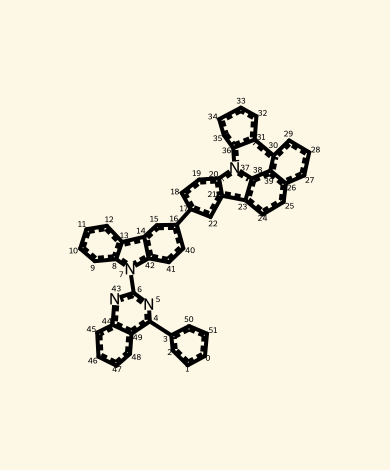 c1ccc(-c2nc(-n3c4ccccc4c4cc(-c5ccc6c(c5)c5ccc7cccc8c9ccccc9n6c5c78)ccc43)nc3ccccc23)cc1